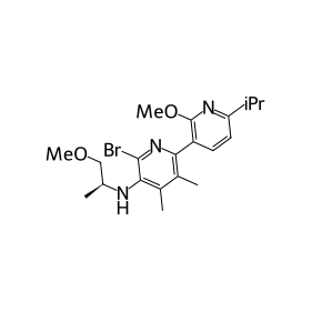 COC[C@H](C)Nc1c(Br)nc(-c2ccc(C(C)C)nc2OC)c(C)c1C